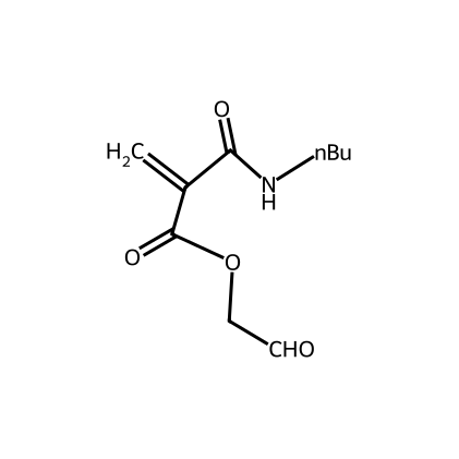 C=C(C(=O)NCCCC)C(=O)OCC=O